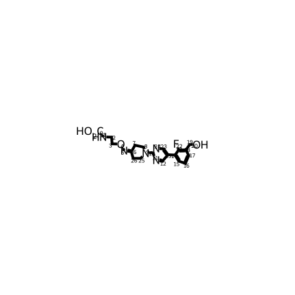 O=C(O)NCCON=C1CCN(c2ncc(-c3cccc(CO)c3F)cn2)CC1